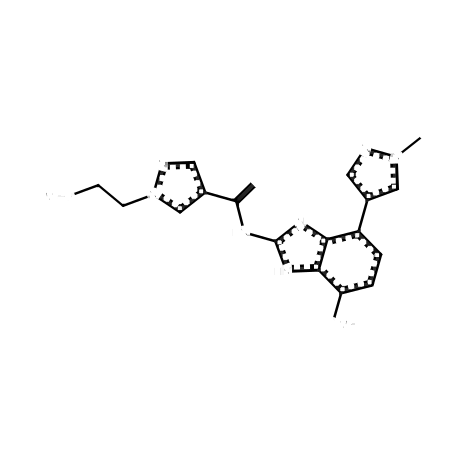 COCCn1cc(C(=O)Nc2nc3c(-c4cnn(C)c4)ccc(OC)c3[nH]2)cn1